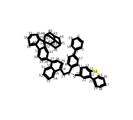 c1ccc(-c2ccc([C@H](Cc3ccc4sc5ccccc5c4c3)Cc3ccc(-c4ccc5c(c4)C4(c6ccccc6-5)C5CC6CC(C5)CC4C6)c4ccccc34)cc2)cc1